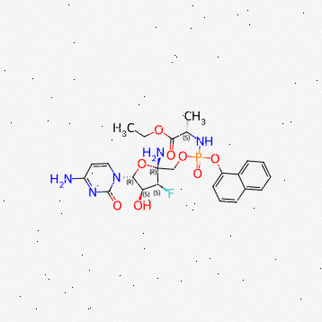 CCOC(=O)[C@H](C)NP(=O)(OC[C@@]1(N)O[C@@H](n2ccc(N)nc2=O)[C@H](O)[C@@H]1F)Oc1cccc2ccccc12